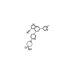 Cn1cc(-c2cc(-c3ccc(N4CCS(=N)(=O)CC4)nc3)c3c(C#N)cnn3c2)cn1